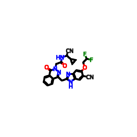 N#Cc1cc2[nH]c(Cc3nn(CC(=O)NC(C#N)C4CC4)c(=O)c4ccccc34)nc2cc1OCC(F)F